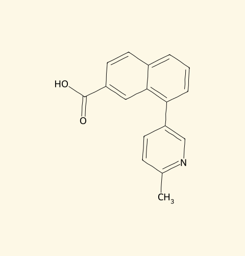 Cc1ccc(-c2cccc3ccc(C(=O)O)cc23)cn1